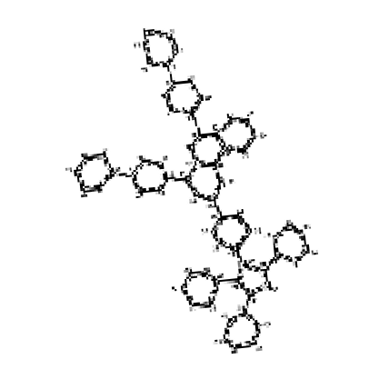 c1ccc(-c2ccc(-c3cc4c(-c5ccc(-c6ccccc6)cc5)cc(-c5ccc(-n6c(-c7ccccc7)nc(-c7ccccc7)c6-c6ccccc6)cc5)nc4c4ccccc34)cc2)cc1